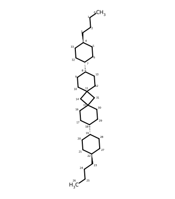 CCCC[C@H]1CC[C@H](C2CCC3(CC2)CC2(CCC([C@H]4CC[C@H](CCCC)CC4)CC2)C3)CC1